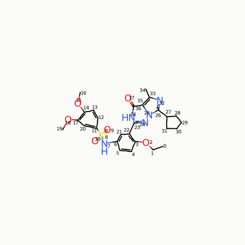 CCOc1ccc(NS(=O)(=O)c2ccc(OC)c(OC)c2)cc1-c1nn2c(C3CCCC3)nc(C)c2c(=O)[nH]1